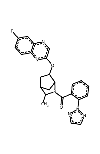 CC1C2CC(Oc3cnc4cc(F)ccc4n3)C(C2)N1C(=O)c1ccccc1-n1nccn1